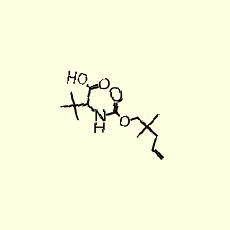 C=CCC(C)(C)COC(=O)NC(C(=O)O)C(C)(C)C